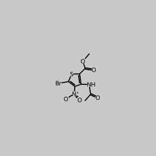 COC(=O)c1sc(Br)c([N+](=O)[O-])c1NC(C)=O